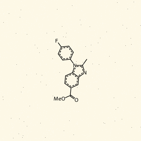 COC(=O)c1ccc2c(c1)nc(C)n2-c1ccc(F)cc1